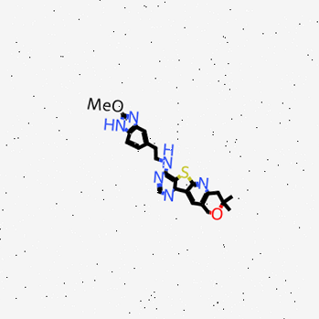 COc1nc2cc(CCNc3ncnc4c3sc3nc5c(cc34)COC(C)(C)C5)ccc2[nH]1